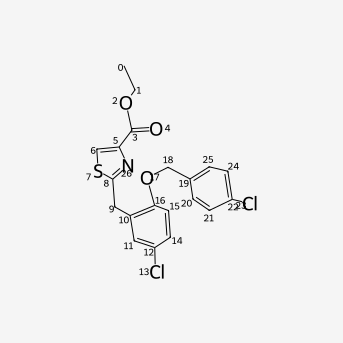 CCOC(=O)c1csc(Cc2cc(Cl)ccc2OCc2ccc(Cl)cc2)n1